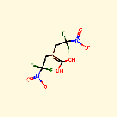 O=[N+]([O-])C(F)(F)CS(CC(F)(F)[N+](=O)[O-])=C(O)O